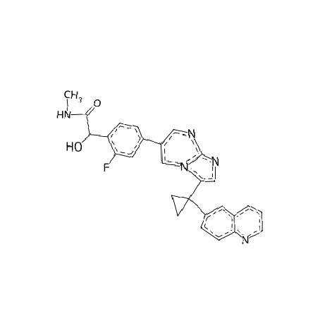 CNC(=O)C(O)c1ccc(-c2cnc3ncc(C4(c5ccc6ncccc6c5)CC4)n3c2)cc1F